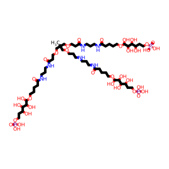 CC(COCCCNCCCNC(=O)CCCCOC(O)C(O)C(O)C(O)CCOP(=O)(O)O)(COCCC(=O)NCCCNC(=O)CCCCOC(O)C(O)C(O)C(O)CCOP(=O)(O)O)COCCC(=O)NCCCNC(=O)CCCCOC(O)C(O)C(O)C(O)CCOP(=O)(O)O